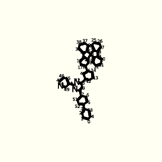 c1ccc(-c2ccc(-c3cc(-c4cccc(-c5ccc6c(c5)C5(c7ccccc7-c7ccccc75)c5ccccc5-6)c4)nc(-c4cccnc4)n3)cc2)cc1